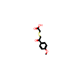 COc1ccc(C(=O)CSCC(=O)O)cc1